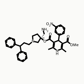 COC(=O)C1=C(C)NC(C)=C(C(=O)O[C@]2(CN)CCN(CCC(c3ccccc3)c3ccccc3)C2)C1c1cccc([N+](=O)[O-])c1